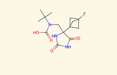 CC(C)(C)N(CC1(C23CC(F)(C2)C3)NC(=O)NC1=O)C(=O)O